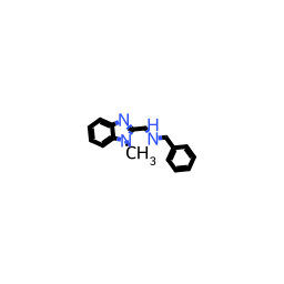 Cn1c(CNCc2ccccc2)nc2ccccc21